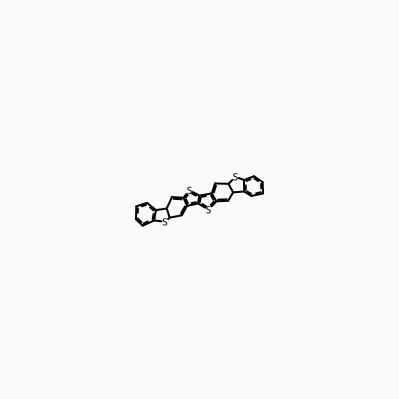 C1=c2sc3c4c(sc3c2=CC2Sc3ccccc3C12)=CC1c2ccccc2SC1C=4